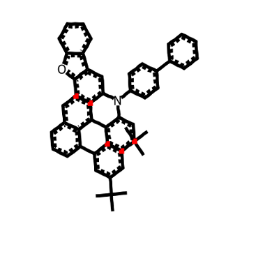 CC(C)(C)c1cc(-c2cccc3cccc(-c4ccccc4N(c4ccc(-c5ccccc5)cc4)c4ccc5oc6ccccc6c5c4)c23)cc(C(C)(C)C)c1